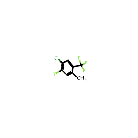 Cc1cc(F)c(Cl)cc1C(F)(F)F